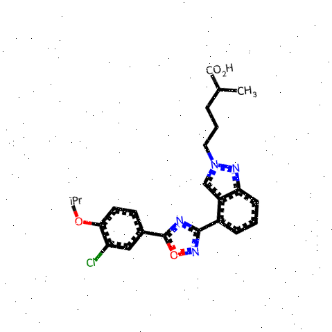 CC(C)Oc1ccc(-c2nc(-c3cccc4nn(CCCC(C)C(=O)O)cc34)no2)cc1Cl